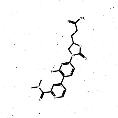 CN(C)C(=O)c1cc(-c2ccc(N3CC(CCC(N)=O)OC3=O)cc2F)ccn1